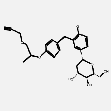 C#CCOCC(C)Oc1ccc(Cc2cc([C@H]3C[C@@H](O)[C@H](O)[C@@H](CO)O3)ccc2Cl)cc1